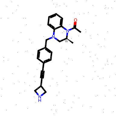 CC(=O)N1c2ccccc2N(Cc2ccc(C#CC3CNC3)cc2)C[C@@H]1C